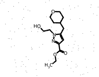 CCOC(=O)c1cc(CC2CCOCC2)n(CCO)n1